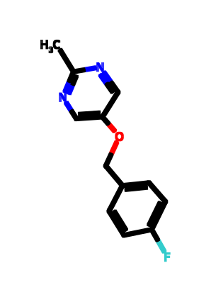 Cc1ncc(OCc2ccc(F)cc2)cn1